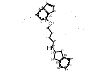 C1=Cc2cccc(OCCCCNC3Cc4ccccc4C3)c2C1